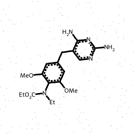 CCOC(=O)N(CC)c1c(OC)cc(Cc2cnc(N)nc2N)cc1OC